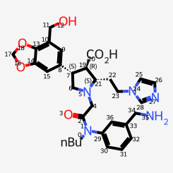 CCCCN(C(=O)CN1C[C@H](c2cc(CO)c3c(c2)OCO3)[C@@H](C(=O)O)[C@@H]1CCn1ccnc1)c1cccc(CN)c1